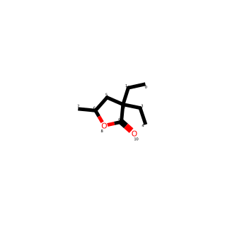 CCC1(CC)CC(C)OC1=O